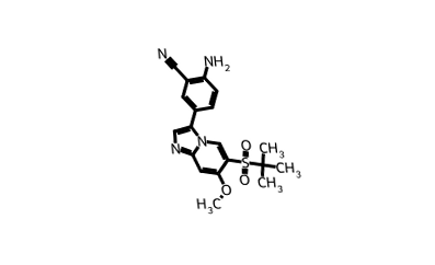 COc1cc2ncc(-c3ccc(N)c(C#N)c3)n2cc1S(=O)(=O)C(C)(C)C